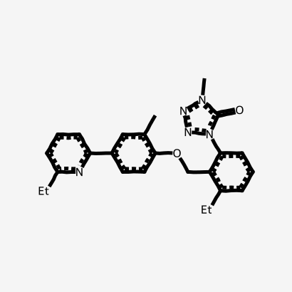 CCc1cccc(-c2ccc(OCc3c(CC)cccc3-n3nnn(C)c3=O)c(C)c2)n1